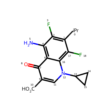 CC(C)c1c(F)c(N)c2c(=O)c(C(=O)O)cn(C3CC3)c2c1F